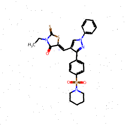 CCN1C(=O)/C(=C/c2cn(-c3ccccc3)nc2-c2ccc(S(=O)(=O)N3CCCCC3)cc2)SC1=S